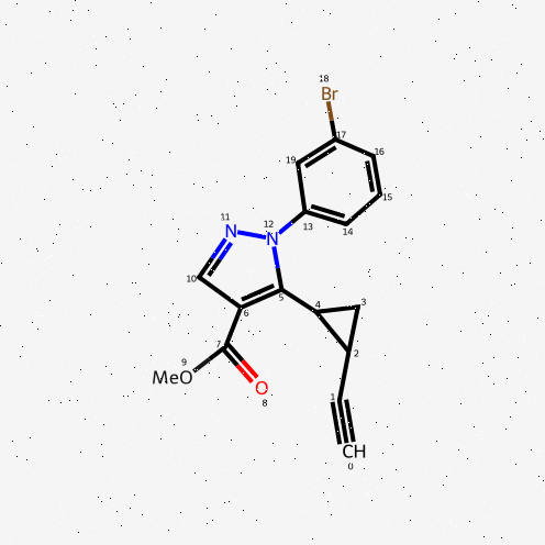 C#CC1CC1c1c(C(=O)OC)cnn1-c1cccc(Br)c1